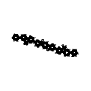 CC1(C)c2cc(-c3ccccc3)ccc2-c2ccc(-c3ccc4c(c3)oc3cc5c(cc34)oc3cc(-c4ccc6c(c4)C(C)(C)c4cc(-c7ccccc7)ccc4-6)ccc35)cc21